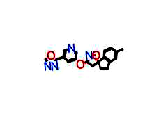 Cc1ccc2c(c1)CC[C@]21CC(Oc2cncc(-c3nnco3)c2)=NO1